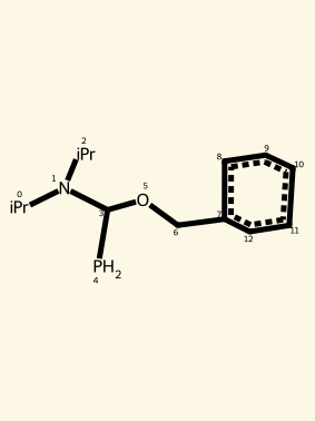 CC(C)N(C(C)C)C(P)OCc1ccccc1